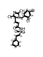 Cc1nc(Cl)c(C=CC(=O)NS(=O)(=O)C=Cc2ccccc2)n1Cc1ccc(Br)cc1Cl